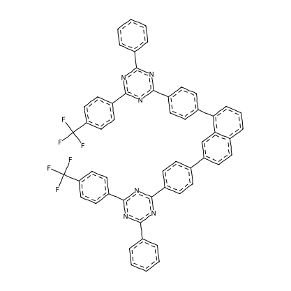 FC(F)(F)c1ccc(-c2nc(-c3ccccc3)nc(-c3ccc(-c4ccc5cccc(-c6ccc(-c7nc(-c8ccccc8)nc(-c8ccc(C(F)(F)F)cc8)n7)cc6)c5c4)cc3)n2)cc1